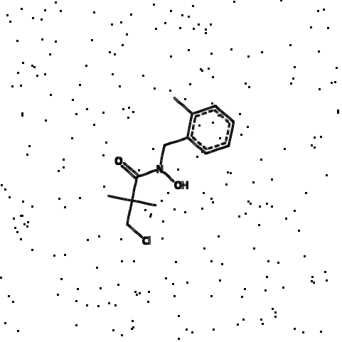 Cc1ccccc1CN(O)C(=O)C(C)(C)CCl